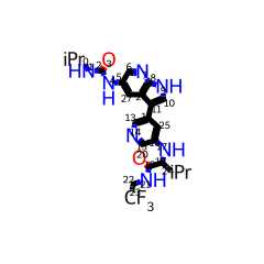 CC(C)NC(=O)Nc1cnc2[nH]cc(-c3cncc(NC(C(=O)NCC(F)(F)F)C(C)C)c3)c2c1